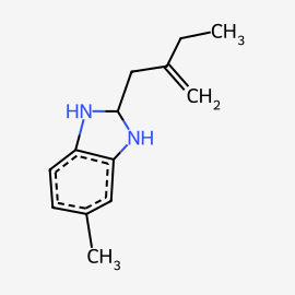 C=C(CC)CC1Nc2ccc(C)cc2N1